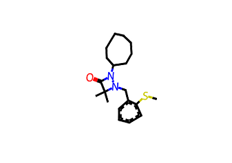 CSc1ccccc1CN1N(C2CCCCCCC2)C(=O)C1(C)C